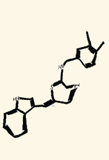 Cc1ccc(NC2N=C/C(=C/c3c[nH]c4ccccc34)S2)cc1C